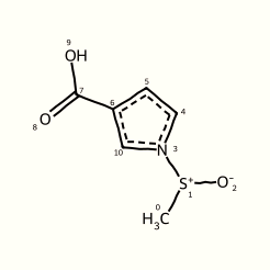 C[S+]([O-])n1ccc(C(=O)O)c1